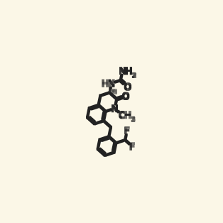 CN1C(=O)[C@H](NC(N)=O)Cc2cccc(Cc3ccccc3C(F)F)c21